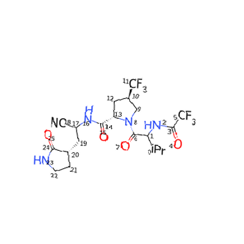 CC(C)C(NC(=O)C(F)(F)F)C(=O)N1C[C@H](C(F)(F)F)C[C@H]1C(=O)NC(C#N)C[C@@H]1CCNC1=O